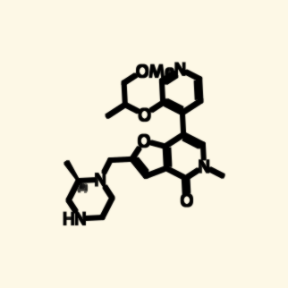 COCC(C)Oc1cnccc1-c1cn(C)c(=O)c2cc(CN3CCNC[C@H]3C)oc12